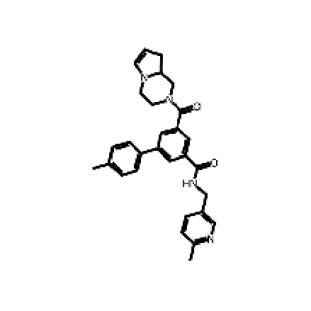 Cc1ccc(-c2cc(C(=O)NCc3ccc(C)nc3)cc(C(=O)N3CCN4C=CCC4C3)c2)cc1